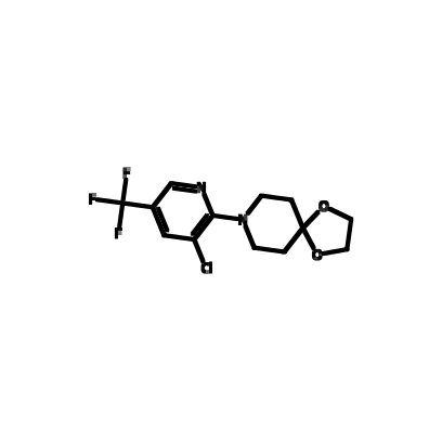 FC(F)(F)c1cnc(N2CCC3(CC2)OCCO3)c(Cl)c1